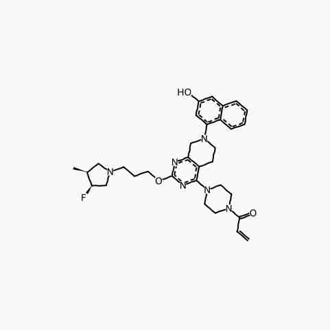 C=CC(=O)N1CCN(c2nc(OCCCN3C[C@@H](F)[C@@H](C)C3)nc3c2CCN(c2cc(O)cc4ccccc24)C3)CC1